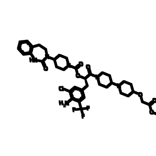 CCOC(=O)COC1CCN(C2CCN(C(=O)[C@@H](Cc3cc(Cl)c(N)c(C(F)(F)F)c3)OC(=O)N3CCC(N4CCc5ccccc5NC4=O)CC3)CC2)CC1